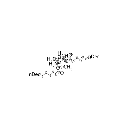 CCCCCCCCCCCCCCCC(=O)OC(C)C(C(C)OC(=O)CCCCCCCCCCCCCCC)C(C)(N)O